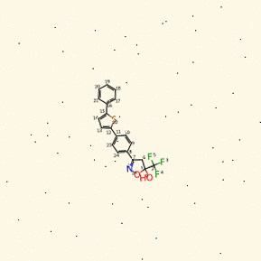 OC1(C(F)(F)F)CC(c2ccc(-c3ccc(-c4ccccc4)s3)cc2)=NO1